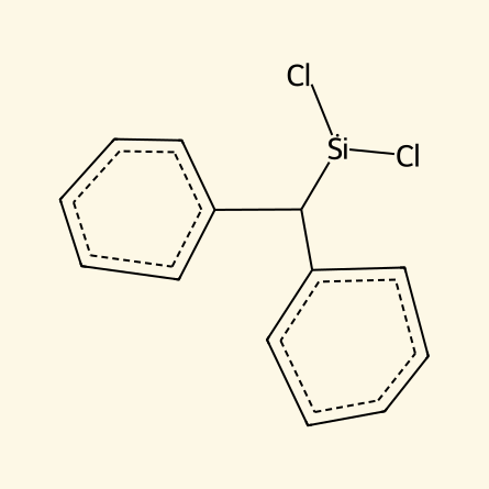 Cl[Si](Cl)C(c1ccccc1)c1ccccc1